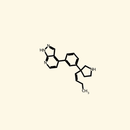 CC/C=C\C1(c2cccc(-c3ccnc4[nH]ncc34)c2)CCNC1